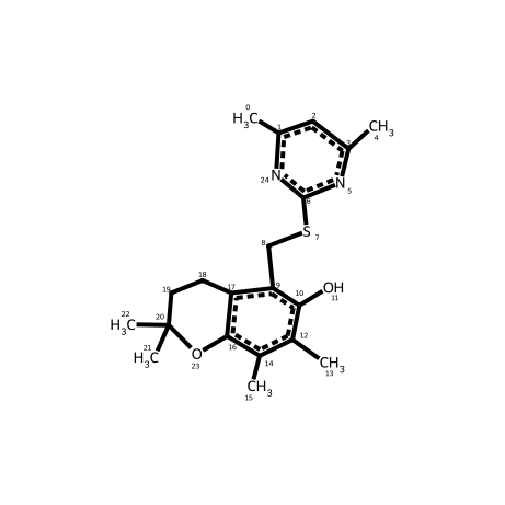 Cc1cc(C)nc(SCc2c(O)c(C)c(C)c3c2CCC(C)(C)O3)n1